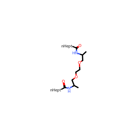 CCCCCCCC(=O)NC(C)COCCOCC(C)NC(=O)CCCCCCC